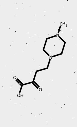 CN1CCN(CCC(=O)C(=O)O)CC1